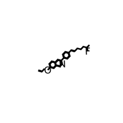 C=CCOc1ccc2cc(-c3ccc(C=CCCCC(C)F)cc3)ncc2c1